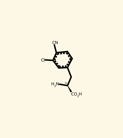 N#Cc1ccc(C[C@H](N)C(=O)O)cc1Cl